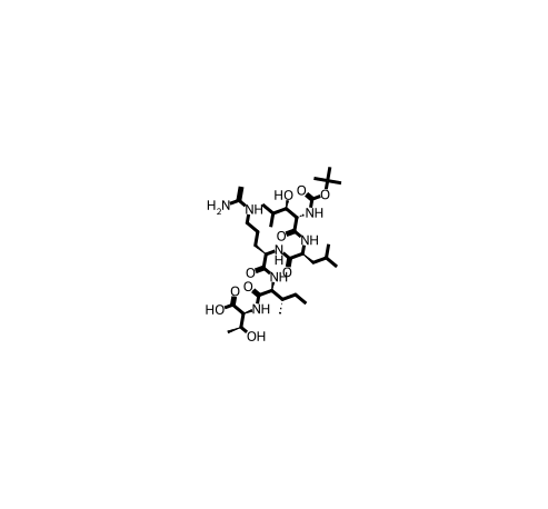 C=C(N)NCCC[C@@H](NC(=O)[C@H](CC(C)C)NC(=O)[C@@H](NC(=O)OC(C)(C)C)[C@H](O)C(C)C)C(=O)N[C@H](C(=O)N[C@H](C(=O)O)[C@H](C)O)[C@@H](C)CC